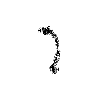 CC(C)(c1ccc(OCCCCCCCOCCN2CCN(c3ccc4c(c3)C(=O)N(C3CCC(=O)NC3=O)C4=O)CC2)cc1)c1ccc(OCc2ccnc(NS(C)(=O)=O)n2)cc1